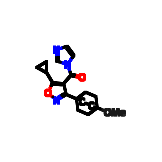 COC12CCC(c3noc(C4CC4)c3C(=O)n3ccnc3)(CC1)CC2